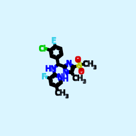 Cc1cnc(NC(c2ccc(F)c(Cl)c2)c2nc(S(C)(=O)=O)c(C)[nH]2)c(F)c1